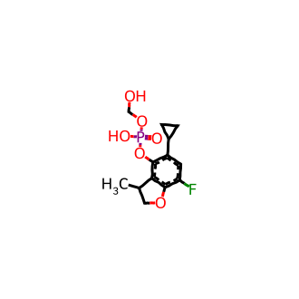 CC1COc2c(F)cc(C3CC3)c(OP(=O)(O)OCO)c21